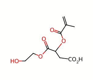 C=C(C)C(=O)OC(CC(=O)O)C(=O)OCCO